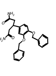 NC(=O)CC(CC(N)=O)c1ccc(OCc2ccccc2)c(OCc2ccccc2)c1